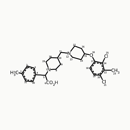 Cc1ccc(C(C(=O)O)N2CCC(CN3CCC(Oc4ccc(Cl)c(C)c4Cl)CC3)CC2)cc1